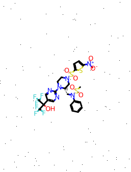 CS(=O)(=O)N(C[C@H]1CN(S(=O)(=O)c2ccc([N+](=O)[O-])s2)CCN1c1ncc(C(O)(C(F)(F)F)C(F)(F)F)cn1)c1ccccc1